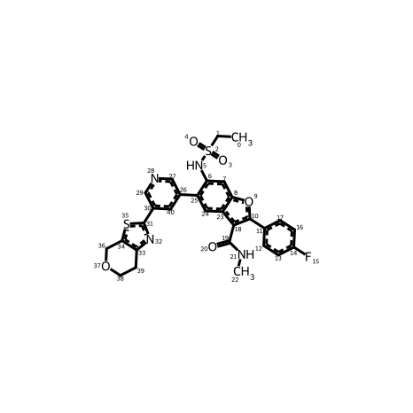 CCS(=O)(=O)Nc1cc2oc(-c3ccc(F)cc3)c(C(=O)NC)c2cc1-c1cncc(-c2nc3c(s2)COCC3)c1